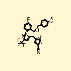 COc1ccc(CO[C@H](C)c2cc(F)ccc2-n2nc(C(F)(F)F)cc2Cc2cc(C#N)nn2C)cc1